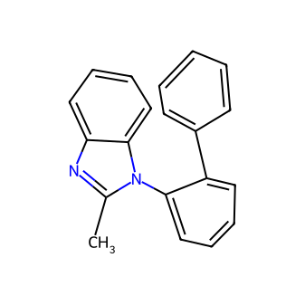 Cc1nc2ccccc2n1-c1ccccc1-c1ccccc1